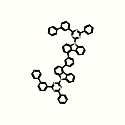 c1ccc(-c2cccc(-c3nc(-c4ccccc4)nc(-n4c5ccccc5c5c(-c6cccc(-c7cccc8c7c7ccccc7n8-c7nc(-c8ccccc8)nc(-c8cccc(-c9ccccc9)c8)n7)c6)cccc54)n3)c2)cc1